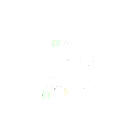 CC(C)C1=Cc2c(-c3ccccc3)cccc2[CH]1[Zr+2].CC1=C2c3sccc3C1[Si]2(C)C.[Cl-].[Cl-]